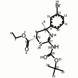 CCOC(=O)[C@@H]1C[C@@](C)(c2cccc(Br)c2)N=C(NC(=O)OC(C)(C)C)S1